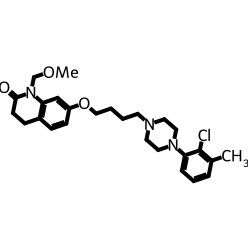 COCN1C(=O)CCc2ccc(OCCCCN3CCN(c4cccc(C)c4Cl)CC3)cc21